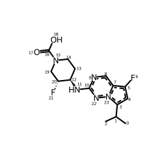 CC(C)c1cc(F)c2cnc(N[C@@H]3CCN(C(=O)O)C[C@H]3F)nn12